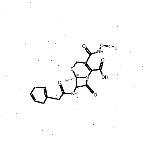 CONC(=O)C1=C(C(=O)O)N2C(=O)C(NC(=O)CC3=CCC=CC3)[C@H]2SC1